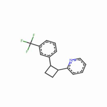 FC(F)(F)c1cccc([C]2CCC2c2ccccn2)c1